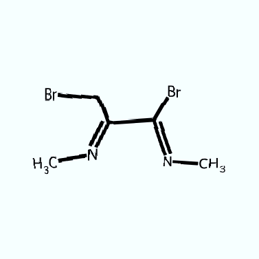 CN=C(Br)C(CBr)=NC